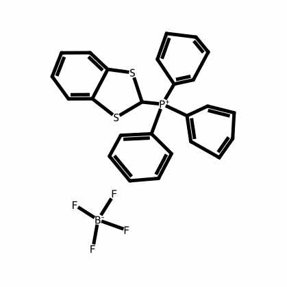 F[B-](F)(F)F.c1ccc([P+](c2ccccc2)(c2ccccc2)C2Sc3ccccc3S2)cc1